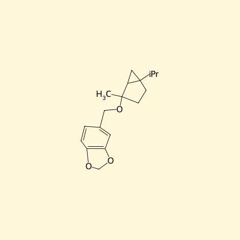 CC(C)C12CCC(C)(OCc3ccc4c(c3)OCO4)C1C2